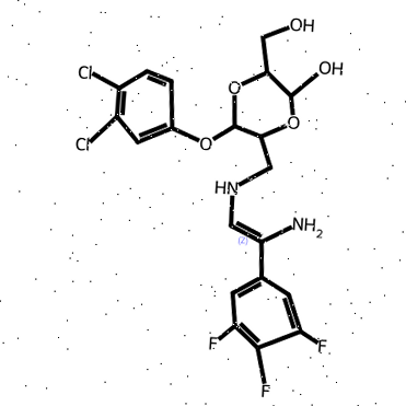 N/C(=C\NCC1OC(O)C(CO)OC1Oc1ccc(Cl)c(Cl)c1)c1cc(F)c(F)c(F)c1